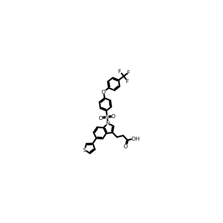 O=C(O)CCc1cn(S(=O)(=O)c2ccc(Oc3ccc(C(F)(F)F)cc3)cc2)c2ccc(-c3ccsc3)cc12